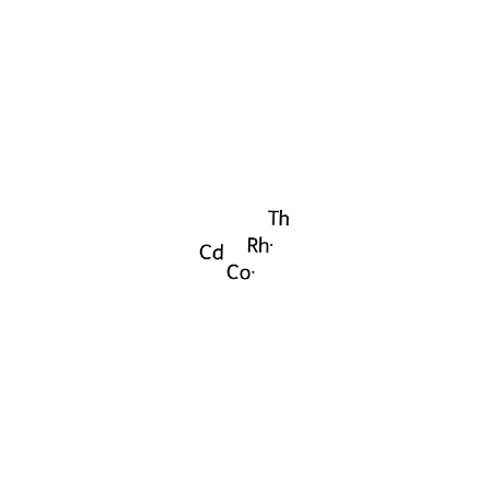 [Cd].[Co].[Rh].[Th]